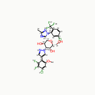 COc1cc(Cl)c(F)c(F)c1-c1cnn([C@H]2[C@@H](O)[C@@H](CO)O[C@@H](c3nc(C)nn3-c3cc(Cl)ccc3C(F)(F)F)[C@@H]2O)c1